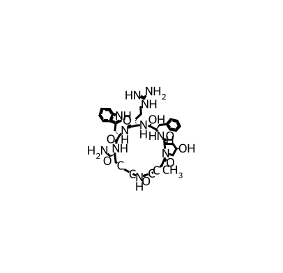 C[C@H]1CCC(=O)NCCCC[C@@H](C(N)=O)NC(=O)[C@H](Cc2c[nH]c3ccccc23)NC(=O)[C@H](CCCNC(=N)N)N[C@@H](O)[C@@H](Cc2ccccc2)NC(=O)[C@@H]2C[C@@H](O)CN2C1=O